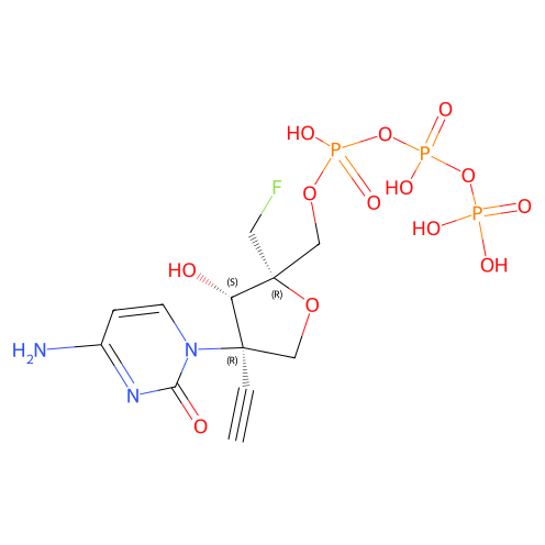 C#C[C@@]1(n2ccc(N)nc2=O)CO[C@](CF)(COP(=O)(O)OP(=O)(O)OP(=O)(O)O)[C@H]1O